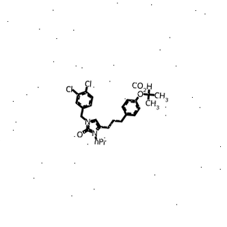 CCCn1c(CCCc2ccc(OC(C)(C)C(=O)O)cc2)cn(Cc2ccc(Cl)c(Cl)c2)c1=O